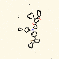 C1=CCC(c2c3oc4cc(N(c5ccc(-c6ccccc6)cc5)c5ccc(-c6cccc7c6sc6ccccc67)cc5)ccc4c3cc3oc4ccccc4c23)C=C1